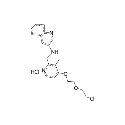 Cc1c(OCCOCCCl)ccnc1CNc1cnc2ccccc2c1.Cl